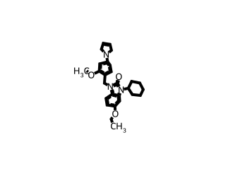 CCOc1ccc2c(c1)n(C1CCCCC1)c(=O)n2Cc1ccc(N2CC=CC2)cc1OC